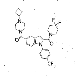 O=C(c1ccc2c(c1)cc(C(=O)N1CCC(F)(F)CC1)n2-c1ccc(C(F)(F)F)cc1)N1CCN(C2CCC2)CC1